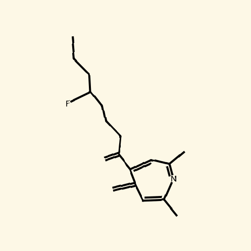 C=C1C=C(C)N=C(C)C=C1C(=C)CCCC(F)CCC